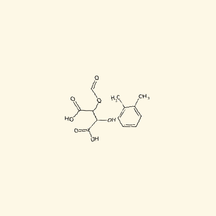 Cc1ccccc1C.O=COC(C(=O)O)C(O)C(=O)O